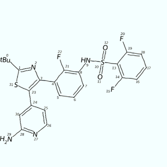 CC(C)(C)c1nc(-c2cccc(NS(=O)(=O)c3c(F)cccc3F)c2F)c(-c2ccnc(N)c2)s1